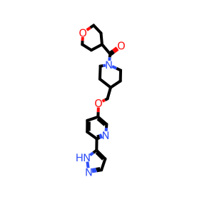 O=C(C1CCOCC1)N1CCC(COc2ccc(-c3ccn[nH]3)nc2)CC1